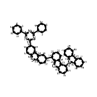 c1ccc(-c2nc(-c3ccccc3)nc(-c3ccc4sc5ccc(-c6cccc7c6oc6cccc(-n8c9ccccc9c9ccccc98)c67)cc5c4c3)n2)cc1